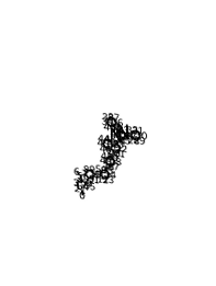 C=C/C=C\C1=C(C)c2ccc(-c3cccc(-c4ccc(-c5ccc(-c6cc(-c7ccccc7)nc(-c7ccccc7)n6)c6ccccc56)cc4)c3)cc2C1(C)C